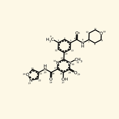 Cc1cc(C(=O)NC2CCOCC2)cc(-c2nc(C(=O)Nc3cnoc3)c(O)c(=O)n2C)c1